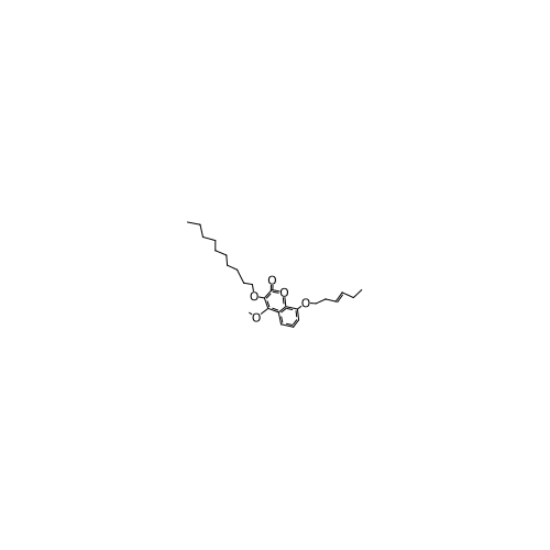 CC/C=C/CCOc1cccc2c(OC)c(OCCCCCCCCCC)c(=O)oc12